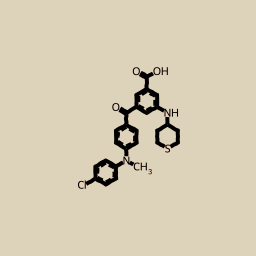 CN(c1ccc(Cl)cc1)c1ccc(C(=O)c2cc(NC3CCSCC3)cc(C(=O)O)c2)cc1